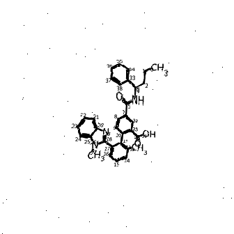 CCC[C@@H](NC(=O)c1ccc(-c2c(C)cccc2-c2nc3ccccc3n2C)c(C(=O)O)c1)c1ccccc1